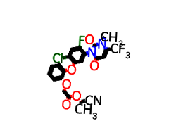 CC(C#N)OC(=O)COc1ccccc1Oc1cc(-n2c(=O)cc(C(F)(F)F)n(C)c2=O)c(F)cc1Cl